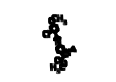 COC(=O)c1cn(C2CC2)c2cc(N3CC(c4ccc(OC)cc4Cl)C3)ccc12